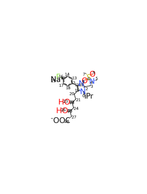 CC(C)n1c(CN(C)S(C)(=O)=O)nc(-c2ccc(F)cc2)c1CC[C@@H](O)C[C@@H](O)CC(=O)[O-].[Na+]